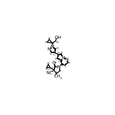 C[C@@H]1CN(c2ccnn3cc(-c4cnn(C5(CO)CC5)c4)cc23)C(=O)[C@]1(C#N)C1CC1